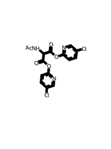 CC(=O)NC(C(=O)Oc1ccc(Cl)cn1)C(=O)Oc1ccc(Cl)cn1